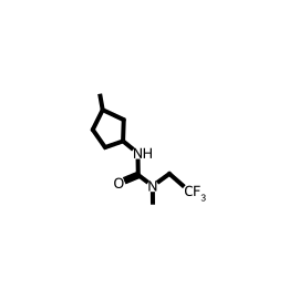 CC1CCC(NC(=O)N(C)CC(F)(F)F)C1